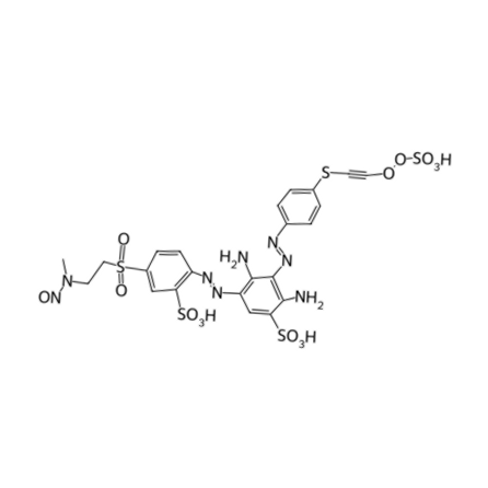 CN(CCS(=O)(=O)c1ccc(N=Nc2cc(S(=O)(=O)O)c(N)c(N=Nc3ccc(SC#COOS(=O)(=O)O)cc3)c2N)c(S(=O)(=O)O)c1)N=O